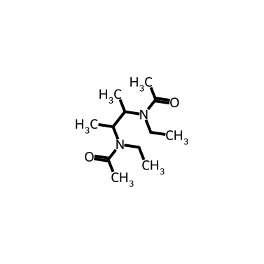 CCN(C(C)=O)C(C)C(C)N(CC)C(C)=O